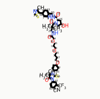 Cc1ncsc1-c1ccc(CNC(=O)[C@@H]2C[C@@H](O)CN2C(=O)C(C)(C)CNC(=O)COCCCOCCCCOc2ccc(N3C(=S)N(c4ccc(C#N)c(C(F)(F)F)c4)C(=O)C3(C)C)cc2)cc1